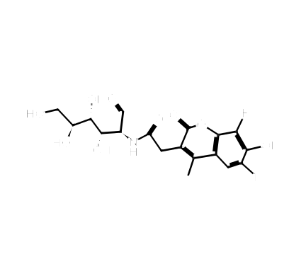 Cc1c(CC(=O)N[C@H](C=O)[C@H](O)[C@@H](O)[C@@H](O)CO)c(=O)oc2c(F)c(O)c(F)cc12